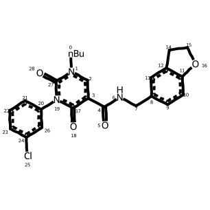 CCCCn1cc(C(=O)NCc2ccc3c(c2)CCO3)c(=O)n(-c2cccc(Cl)c2)c1=O